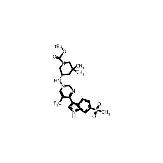 CC1(C)C[C@H](NN2C=C(C(F)(F)F)C(c3c[nH]c4cc(S(C)(=O)=O)ccc34)=NC2)CN(C(=O)OC(C)(C)C)C1